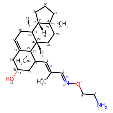 CC(/C=N/OCCN)=C\C1C[C@H](O)CC2=CC[C@H]3[C@@H]4CCC[C@@]4(C)CC[C@@H]3[C@]21C